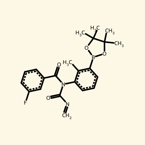 C=NC(=O)N(C(=O)c1cccc(F)c1)c1cccc(B2OC(C)(C)C(C)(C)O2)c1C